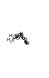 CC#CC(=O)N(C)c1ccc2ncnc(Nc3ccc(Oc4ccc5ccnn5c4)cc3)c2c1